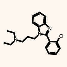 CCN(CC)CCCn1c(-c2ccccc2Cl)nc2ccccc21